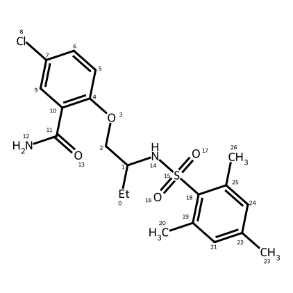 CCC(COc1ccc(Cl)cc1C(N)=O)NS(=O)(=O)c1c(C)cc(C)cc1C